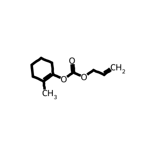 C=CCOC(=O)OC1=C(C)CCCC1